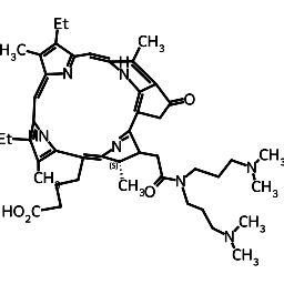 CCC1=C(C)c2cc3[nH]c(c(C)c3CC)c(CCCC(=O)O)c3nc(c4c5[nH]c(cc1n2)c(C)c5C(=O)C4)C(CC(=O)N(CCCN(C)C)CCCN(C)C)[C@@H]3C